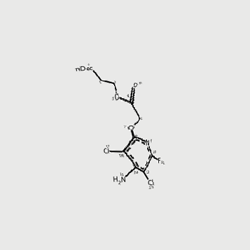 CCCCCCCCCCCCOC(=O)COc1nc(F)c(Cl)c(N)c1Cl